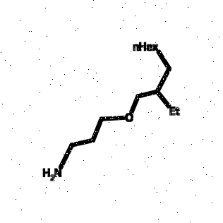 CCCCCCCC(CC)COCCCN